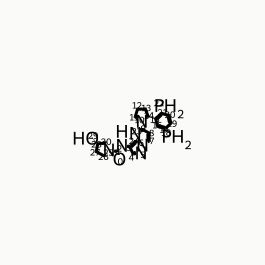 O=C(Nc1cnn2ccc(N3CCC[C@@H]3c3cc(P)ccc3P)nc12)N1CC[C@H](O)C1